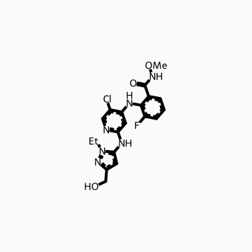 CCn1nc(CO)cc1Nc1cc(Nc2c(F)cccc2C(=O)NOC)c(Cl)cn1